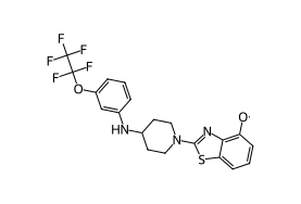 [O]c1cccc2sc(N3CCC(Nc4cccc(OC(F)(F)C(F)(F)F)c4)CC3)nc12